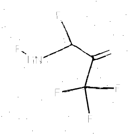 C=C(C(F)NF)C(F)(F)F